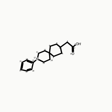 O=C(O)CC1CCC2(CC1)CCN(c1ccccc1)CC2